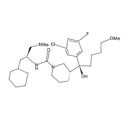 CNC[C@H](CC1CCCCC1)NC(=O)N1CCC[C@@H]([C@@](O)(CCCCOC)c2cc(F)cc(Cl)c2)C1